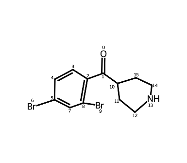 O=C(c1ccc(Br)cc1Br)C1CCNCC1